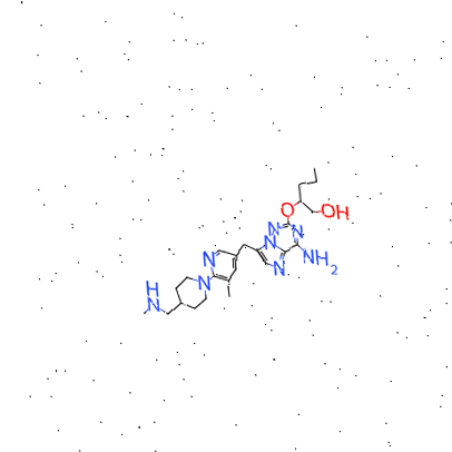 CCCC(CO)Oc1nc(N)c2ncc(Cc3cnc(N4CCC(CNC)CC4)c(C)c3)n2n1